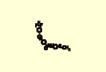 CCSc1ccc(CNC(=O)c2ccc(N3CCC(c4ccc(C(F)(F)F)cc4)C3)cc2)cc1